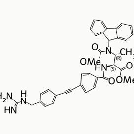 COC(=O)[C@@H](NC(=O)c1ccc(C#Cc2ccc(CNC(=N)N)cc2)cc1)[C@@H](C)N(C(=O)OC)C1c2ccccc2-c2ccccc21